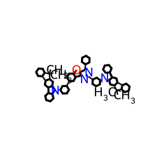 CC1(C)c2ccccc2-c2cc3c4ccccc4n(-c4cccc(-c5ccc6oc7c(-c8ccccc8)nc(-c8cccc(-n9c%10ccccc%10c%10cc%11c(cc%109)C(C)(C)c9ccccc9-%11)c8)nc7c6c5)c4)c3cc21